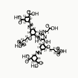 O=C(O)CNc1nc(Nc2ccc(N=Nc3cc(C(=O)O)cc(C(=O)O)c3)cc2OCCCS(=O)(=O)O)nc(Nc2ccc(N=Nc3cc(C(=O)O)cc(C(=O)O)c3)cc2OCCCS(=O)(=O)O)n1